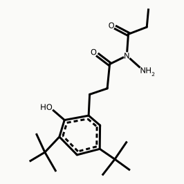 CCC(=O)N(N)C(=O)CCc1cc(C(C)(C)C)cc(C(C)(C)C)c1O